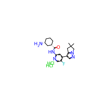 CC1(C)Cc2c(-c3cc(NC(=O)[C@H]4CCC[C@@H](N)C4)ncc3F)cnn2C1.Cl.Cl